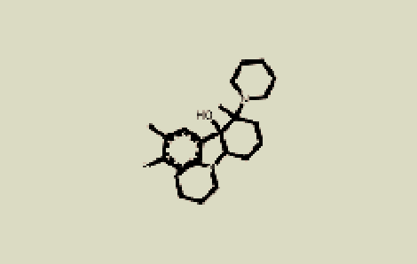 Cc1cc(C2(O)C(N3CCCCC3)CCCC2(C)N2CCCCC2)ccc1F